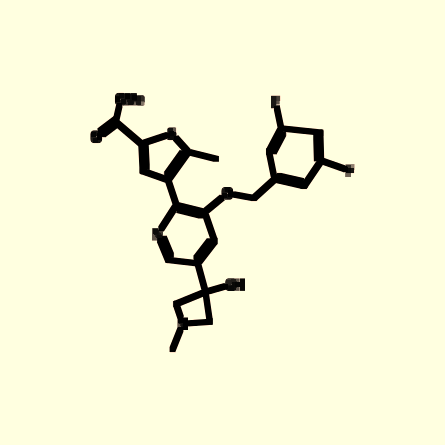 COC(=O)c1cc(-c2ncc(C3(O)CN(C)C3)cc2OCc2cc(F)cc(F)c2)c(C)s1